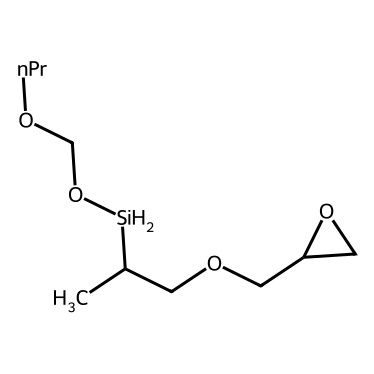 CCCOCO[SiH2]C(C)COCC1CO1